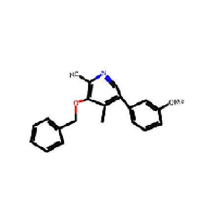 COc1cccc(-c2cnc(C#N)c(OCc3ccccc3)c2C)c1